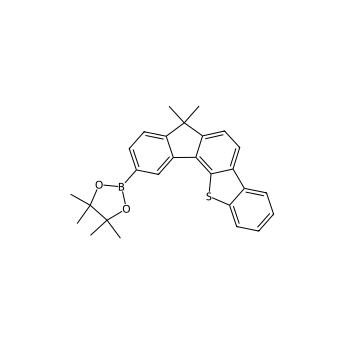 CC1(C)c2ccc(B3OC(C)(C)C(C)(C)O3)cc2-c2c1ccc1c2sc2ccccc21